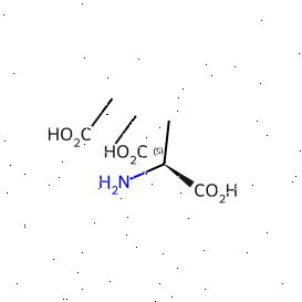 CC(=O)O.CC(=O)O.C[C@H](N)C(=O)O